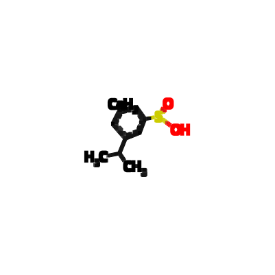 CC(C)c1cccc(S(=O)O)c1.[CaH2]